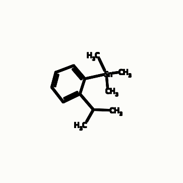 CC(C)c1cccc[c]1[Sn]([CH3])([CH3])[CH3]